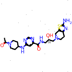 CC(=O)N1CCC(Nc2cc(C(=O)NC[C@H](O)CN3CCc4nc(N)sc4C3)ncn2)CC1